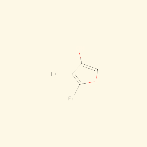 CCc1occ(O)c1C